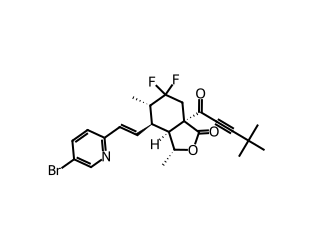 C[C@H]1OC(=O)[C@]2(C(=O)C#CC(C)(C)C)CC(F)(F)[C@@H](C)[C@H](C=Cc3ccc(Br)cn3)[C@H]12